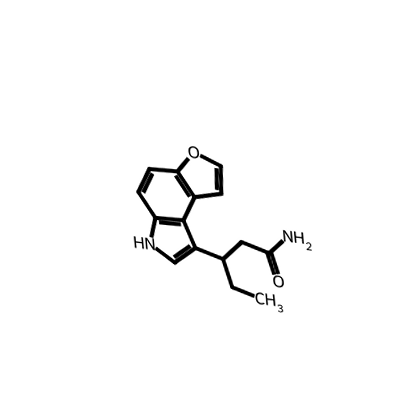 CCC(CC(N)=O)c1c[nH]c2ccc3occc3c12